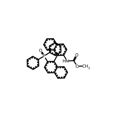 COC(=O)Nc1ccc2ccccc2c1-c1c(P(=O)(c2ccccc2)c2ccccc2)ccc2ccccc12